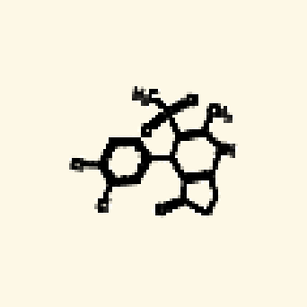 CC1=C(S(C)(=O)=O)C(c2ccc(Cl)c(Cl)c2)C2=C(CCC2=O)N1